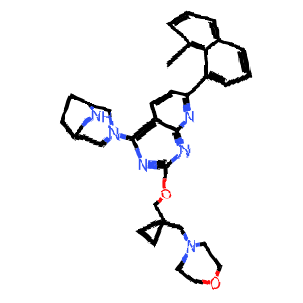 Cc1cccc2cccc(-c3ccc4c(N5CC6CCC(C5)N6)nc(OCC5(CN6CCOCC6)CC5)nc4n3)c12